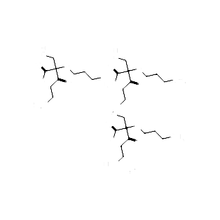 CCCCOC(CC)(C(=O)[O-])C(=O)CCC.CCCCOC(CC)(C(=O)[O-])C(=O)CCC.CCCCOC(CC)(C(=O)[O-])C(=O)CCC.[Y+3]